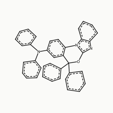 c1ccc(N(c2ccccc2)c2ccc3c(c2)C(c2ccccc2)(c2ccccc2)Oc2nc4ccccc4n2-3)cc1